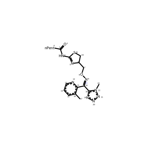 CCCCCC(=O)NC1=NC(CO/N=C(\c2ncccc2C)c2nnnn2C)CS1